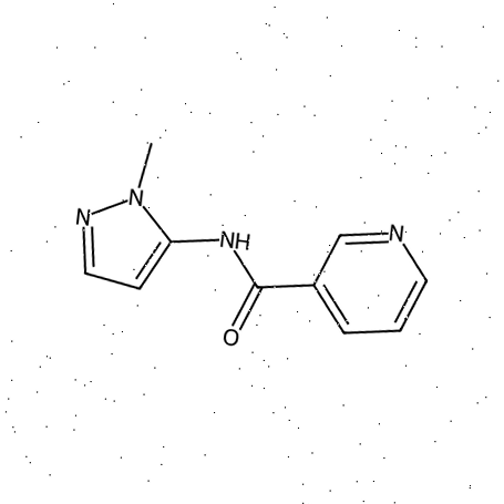 Cn1nccc1NC(=O)c1cccnc1